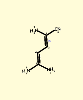 N#C/C(N)=C/C=C(N)N